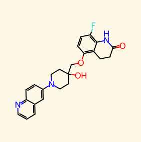 O=C1CCc2c(OCC3(O)CCN(c4ccc5ncccc5c4)CC3)ccc(F)c2N1